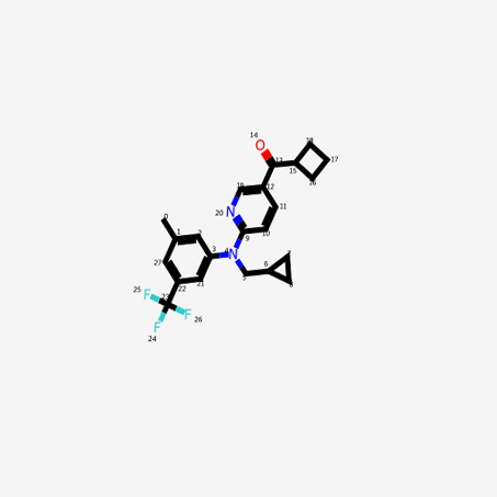 Cc1cc(N(CC2CC2)c2ccc(C(=O)C3CCC3)cn2)cc(C(F)(F)F)c1